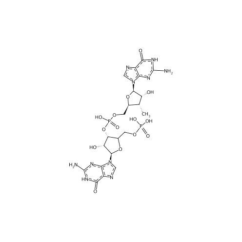 C[C@H]1[C@@H](O)[C@H](n2cnc3c(=O)[nH]c(N)nc32)O[C@@H]1COP(=O)(O)O[C@@H]1C(COP(=O)(O)O)O[C@@H](n2cnc3c(=O)[nH]c(N)nc32)[C@@H]1O